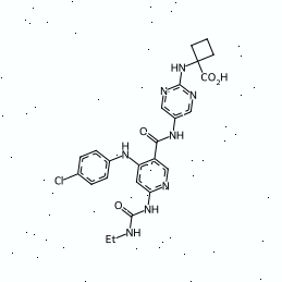 CCNC(=O)Nc1cc(Nc2ccc(Cl)cc2)c(C(=O)Nc2cnc(NC3(C(=O)O)CCC3)nc2)cn1